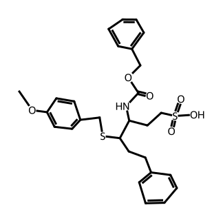 COc1ccc(CSC(CCc2ccccc2)C(CCS(=O)(=O)O)NC(=O)OCc2ccccc2)cc1